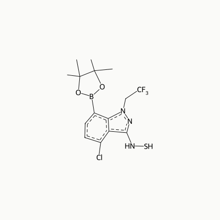 CC1(C)OB(c2ccc(Cl)c3c(NS)nn(CC(F)(F)F)c23)OC1(C)C